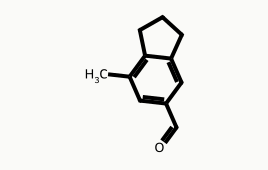 Cc1cc(C=O)cc2c1CCC2